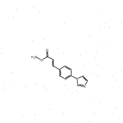 NOC(=O)C=Cc1ccc(-n2ccnn2)cc1